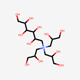 OCC(O)C[N+](CC(O)CO)(CC(O)CO)CC(O)C(O)C(O)C(O)CO